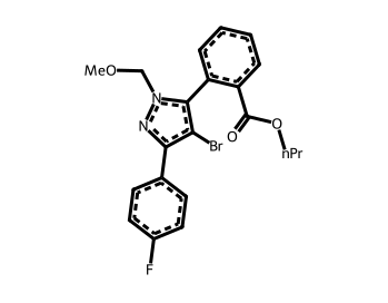 CCCOC(=O)c1ccccc1-c1c(Br)c(-c2ccc(F)cc2)nn1COC